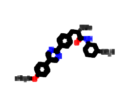 CCCCCCCOc1ccc(-c2cnc(-c3ccc(C[C@H](NC)C(=O)NC4CCCC(C(=O)O)C4)cc3)nc2)cc1